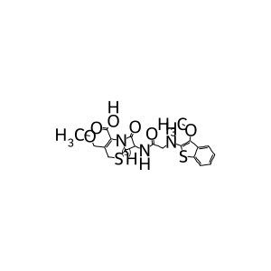 COCC1=C(C(=O)O)N2C(=O)C(NC(=O)CNc3sc4ccccc4c3OC)[C@@H]2SC1